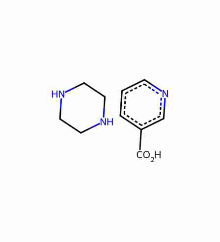 C1CNCCN1.O=C(O)c1cccnc1